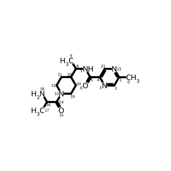 Cc1cnc(C(=O)NC(C)C2CCN(C(=O)C(C)N)CC2)cn1